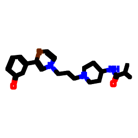 CC(C)C(=O)NC1CCN(CCCN2C=CSC(C3=CC=CC(=O)C3)=C2)CC1